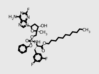 CCCCCCCCCCCOC(=O)[C@H](Cc1cc(F)cc(F)c1)NP(=O)(OC[C@@]1(C)O[C@@H](n2cnc3c(N)nc(F)nc32)C[C@@H]1O)Oc1ccccc1